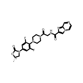 C[C@H]1CN(c2cc(F)c(N3CCN(C(=O)CNC(=O)c4cn5ccncc5n4)CC3)c(F)c2)C(=O)O1